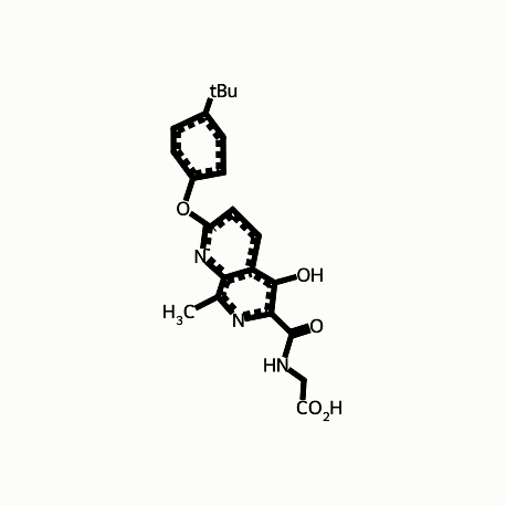 Cc1nc(C(=O)NCC(=O)O)c(O)c2ccc(Oc3ccc(C(C)(C)C)cc3)nc12